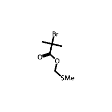 CSCOC(=O)C(C)(C)Br